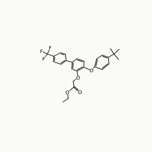 CCOC(=O)COc1cc(-c2ccc(C(F)(F)F)cc2)ccc1Oc1ccc(C(C)(C)C)cc1